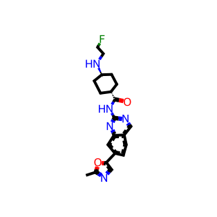 Cc1ncc(-c2ccc3cnc(NC(=O)[C@H]4CC[C@H](NCCF)CC4)nc3c2)o1